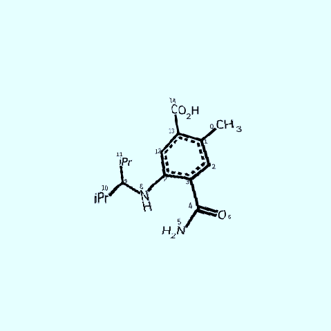 Cc1cc(C(N)=O)c(NC(C(C)C)C(C)C)cc1C(=O)O